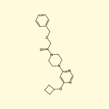 O=C(COCc1ccccc1)N1CCN(c2cc(OC3CCC3)ncn2)CC1